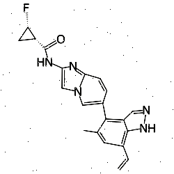 C=Cc1cc(C)c(-c2ccc3nc(NC(=O)[C@@H]4C[C@@H]4F)cn3c2)c2cn[nH]c12